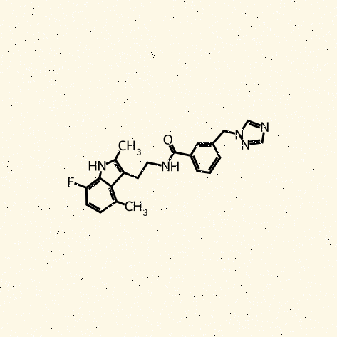 Cc1[nH]c2c(F)ccc(C)c2c1CCNC(=O)c1cccc(Cn2cncn2)c1